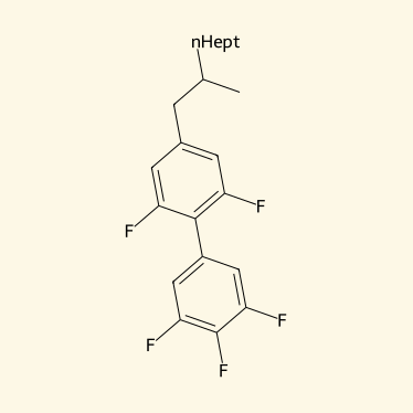 CCCCCCCC(C)Cc1cc(F)c(-c2cc(F)c(F)c(F)c2)c(F)c1